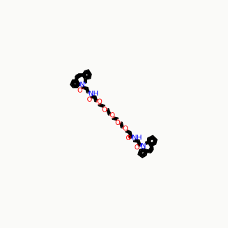 O=C(CCOCCOCCOCCOCCOCCC(=O)NCCC(=O)N1Cc2ccccc2C#Cc2ccccc21)NCCC(=O)N1Cc2ccccc2C#Cc2ccccc21